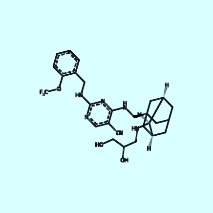 N#Cc1cnc(NCc2ccccc2OC(F)(F)F)nc1NC[C@]12CC3C[C@H](C1)[C@H](NCC(O)CO)[C@@H](C3)C2